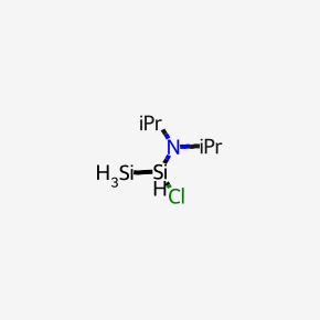 CC(C)N(C(C)C)[SiH]([SiH3])Cl